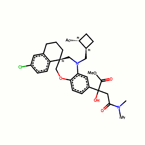 CCCN(C)C(=O)CC(O)(C(=O)OC)c1ccc2c(c1)N(C[C@@H]1CC[C@H]1C(C)=O)C[C@@]1(CCCc3cc(Cl)ccc31)CO2